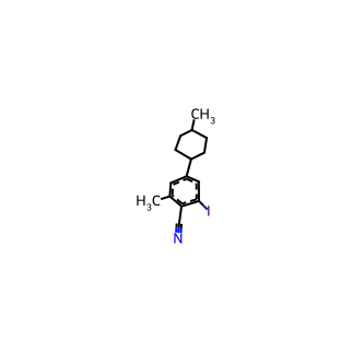 Cc1cc(C2CCC(C)CC2)cc(I)c1C#N